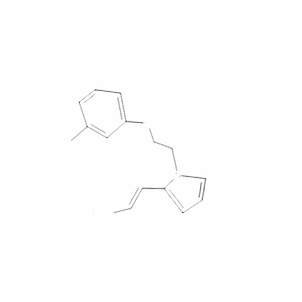 CCOC(=O)/C=C/c1cccn1CCOc1cccc(F)c1